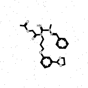 CC(=O)OCC(=O)N(CCCOc1cccc(C2OCCO2)c1)C(=N)N(C)N=Cc1ccccc1